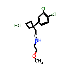 COCCNCCC1(c2ccc(Cl)c(Cl)c2)CCC1.Cl